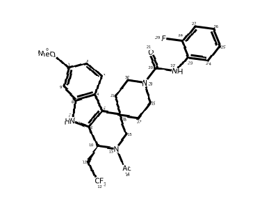 COc1ccc2c3c([nH]c2c1)[C@H](CC(F)(F)F)N(C(C)=O)CC31CCN(C(=O)Nc2ccccc2F)CC1